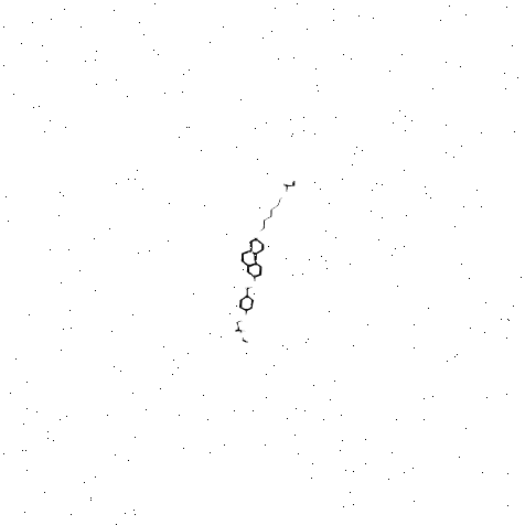 C=COC(=C)COc1ccc(C(=O)Oc2ccc3c(ccc4cc(OCCCCCCOC(=O)C=C)ccc43)c2)cc1